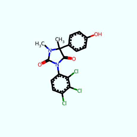 CN1C(=O)N(c2ccc(Cl)c(Cl)c2Cl)C(=O)C1(C)c1ccc(O)cc1